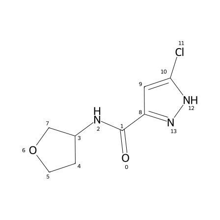 O=C(NC1CCOC1)c1cc(Cl)[nH]n1